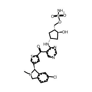 CN1Cc2ccc(Cl)cc2[C@@H]1c1csc(C(=O)c2cncnc2N[C@@H]2C[C@H](COS(N)(=O)=O)[C@@H](O)C2)c1